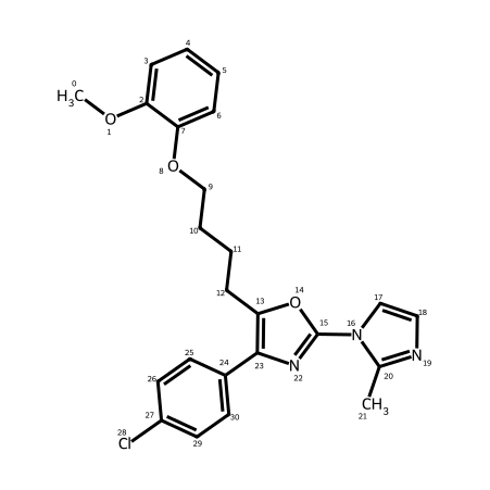 COc1ccccc1OCCCCc1oc(-n2ccnc2C)nc1-c1ccc(Cl)cc1